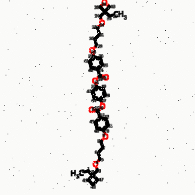 CCC1(COCCCCOc2ccc(C(=O)Oc3ccc(OC(=O)c4ccc(OCCCCOCC5(CC)COC5)cc4)cc3)cc2)CCC1